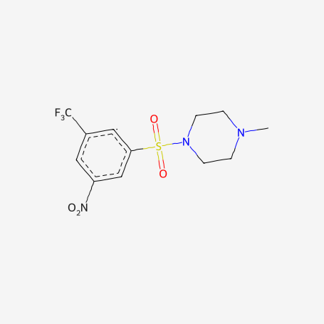 CN1CCN(S(=O)(=O)c2[c]c(C(F)(F)F)cc([N+](=O)[O-])c2)CC1